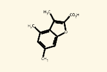 Cc1cc(C)c2c(C)c(C(=O)O)oc2c1